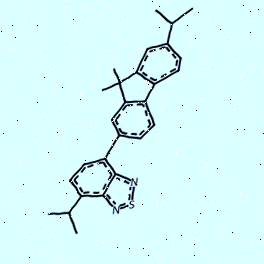 CC(C)c1ccc2c(c1)C(C)(C)c1cc(-c3ccc(C(C)C)c4nsnc34)ccc1-2